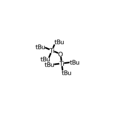 C[C](C)(C)[Ti]([O][Ti]([C](C)(C)C)([C](C)(C)C)[C](C)(C)C)([C](C)(C)C)[C](C)(C)C